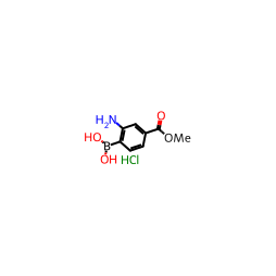 COC(=O)c1ccc(B(O)O)c(N)c1.Cl